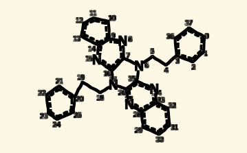 c1ccc(CCN2c3nc4ccccc4nc3N(CCc3ccccc3)c3nc4ccccc4nc32)cc1